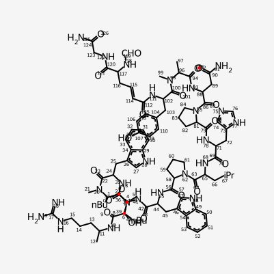 CCCCC(C(=O)N(C)C(CCCC)C(=O)NC(C)CCCNC(=N)N)N(C)C(=O)C(Cc1c[nH]c2ccccc12)NC(=O)[C@H](CO)NC(=O)C(Cc1c[nH]c2ccccc12)NC(=O)C1CCCN1C(=O)C(CC(C)C)NC(=O)C(Cc1cnc[nH]1)NC(=O)C1CCCN1C(=O)C(CC(N)=O)NC(=O)C(C)N(C)C(=O)C(Cc1ccc(O)cc1)NC(=O)/C=C/CC(NC=O)C(=O)NCC(N)=O